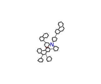 c1ccc(-c2c(-c3ccccc3)c3cc(-c4ccccc4N(c4ccc(-c5ccc6c(ccc7ccccc76)c5)cc4)c4cccc(-c5cccc6ccccc56)c4)ccc3c3ccccc23)cc1